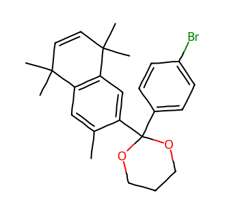 Cc1cc2c(cc1C1(c3ccc(Br)cc3)OCCCO1)C(C)(C)C=CC2(C)C